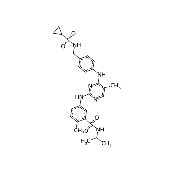 Cc1ccc(Nc2ncc(C)c(Nc3ccc(CNS(=O)(=O)C4CC4)cc3)n2)cc1S(=O)(=O)NC(C)C